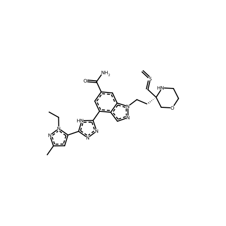 C=S=C[C@]1(CCn2ncc3c(-c4nnc(-c5cc(C)nn5CC)[nH]4)cc(C(N)=O)cc32)COCCN1